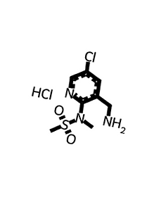 CN(c1ncc(Cl)cc1CN)S(C)(=O)=O.Cl